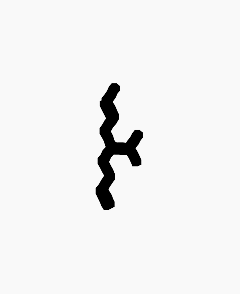 C=CCCC(CC=CC)=C(C)C